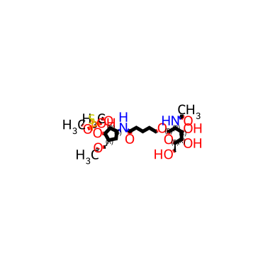 COC[C@H]1C[C@H](NC(=O)CCCCO[C@@H]2O[C@H](CO)[C@H](O)[C@H](O)[C@H]2NC(C)=O)[C@@H](OC)C1OP(O)(=S)OC